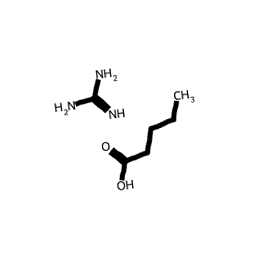 CCCCC(=O)O.N=C(N)N